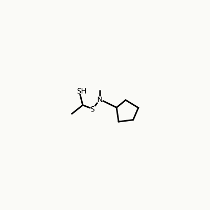 CC(S)SN(C)C1CCCC1